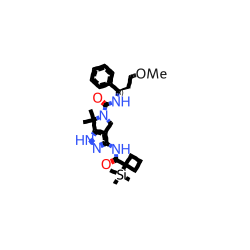 COCC[C@@H](NC(=O)N1Cc2c(NC(=O)C3([Si](C)(C)C)CCC3)n[nH]c2C1(C)C)c1ccccc1